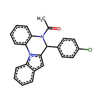 CC(=O)N1c2ccccc2-n2c(cc3ccccc32)C1c1ccc(Cl)cc1